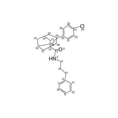 O=C(NCCCc1ccccc1)C12CC3CC(C1)CC(c1ccc(Cl)cc1)(C3)C2